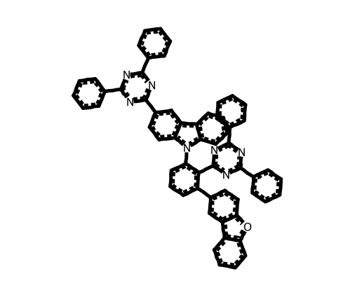 c1ccc(-c2nc(-c3ccccc3)nc(-c3ccc4c(c3)c3ccccc3n4-c3cccc(-c4ccc5oc6ccccc6c5c4)c3-c3nc(-c4ccccc4)nc(-c4ccccc4)n3)n2)cc1